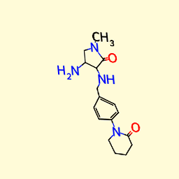 CN1CC(N)C(NCc2ccc(N3CCCCC3=O)cc2)C1=O